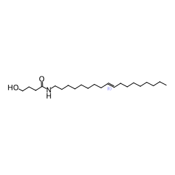 CCCCCCCC/C=C/CCCCCCCCNC(=O)CCCO